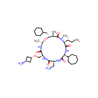 CCC[C@H]1C(=O)N[C@@H](C2CCCCCC2)C(=O)N[C@@H](CN)C(=O)N[C@@H](CO[C@H]2C[C@H](N)C2)C(=O)N[C@H](C)O[C@H](CC2CCCCC2)[C@@H](C)C(=O)N1C